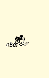 CCCCOc1ccc2c(OCCCC)ccc(C3CCCc4c3ccc3c4ccc4ccccc43)c2c1.c1ccsc1